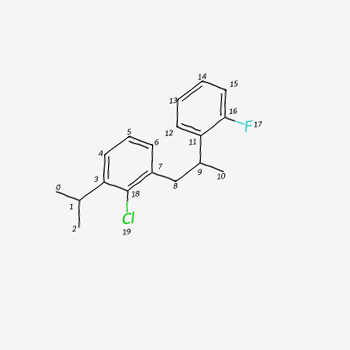 CC(C)c1cccc(CC(C)c2ccccc2F)c1Cl